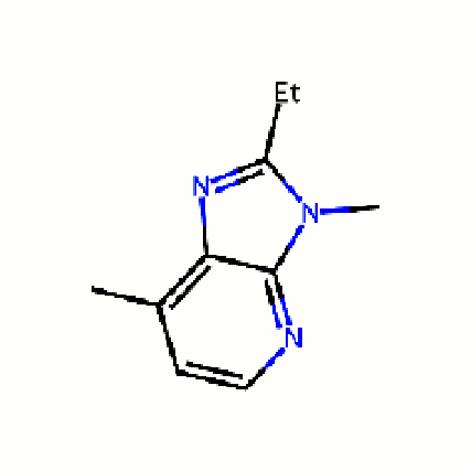 CCc1nc2c(C)ccnc2n1C